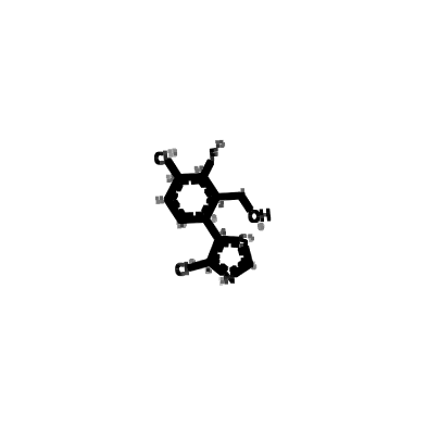 OCc1c(-c2scnc2Cl)ccc(Cl)c1F